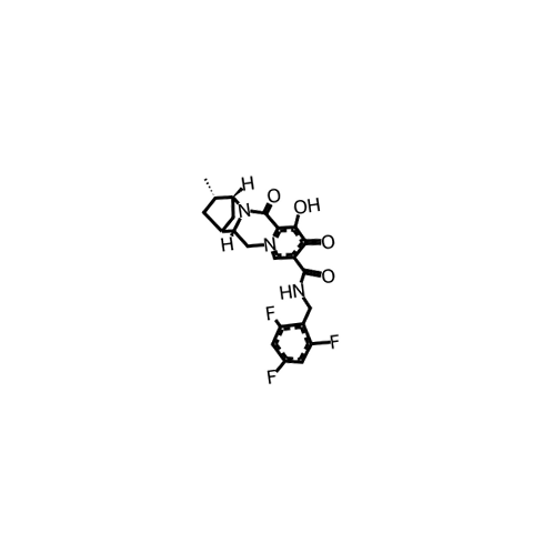 C[C@H]1CC2C[C@H]1N1C(=O)c3c(O)c(=O)c(C(=O)NCc4c(F)cc(F)cc4F)cn3C[C@H]21